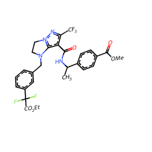 CCOC(=O)C(F)(F)c1cccc(CN2CCn3nc(C(F)(F)F)c(C(=O)NC(C)c4ccc(C(=O)OC)cc4)c32)c1